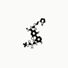 CSc1nc(OCC[C@@H]2CCCN2C)nc2c(F)c(-c3ccc(F)c4sc(NC(=O)OC(C)(C)C)nc34)c(Cl)cc12